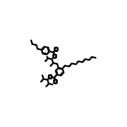 CCCCCCCCCCc1ccc(C(=O)OC(C(C)C)C(C)C)cc1CC(C)C(OC(=O)c1ccc(CCCC)cc1)C(C)C